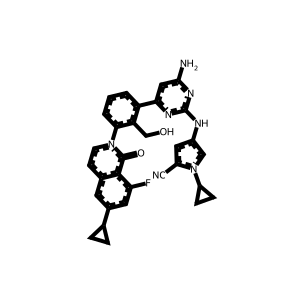 N#Cc1cc(Nc2nc(N)cc(-c3cccc(-n4ccc5cc(C6CC6)cc(F)c5c4=O)c3CO)n2)cn1C1CC1